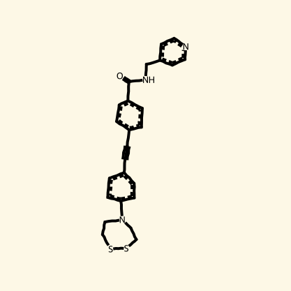 O=C(NCc1ccncc1)c1ccc(C#Cc2ccc(N3CCSSCC3)cc2)cc1